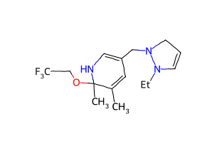 CCN1C=CCN1CC1=CNC(C)(OCC(F)(F)F)C(C)=C1